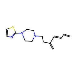 C=CC=CC(=C)CCN1CCN(c2nccs2)CC1